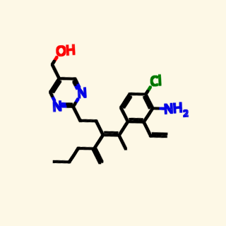 C=Cc1c(/C(C)=C(\CCc2ncc(CO)cn2)C(=C)CCC)ccc(Cl)c1N